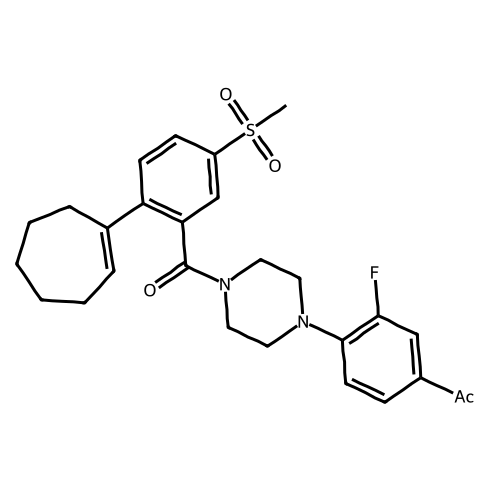 CC(=O)c1ccc(N2CCN(C(=O)c3cc(S(C)(=O)=O)ccc3C3=CCCCCC3)CC2)c(F)c1